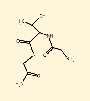 CC(C)C(NC(=O)CN)C(=O)NCC(N)=O